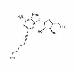 Nc1nc(C#CCCCCO)nc2c1ncn2[C@@H]1O[C@H](CO)[C@@H](O)[C@H]1O